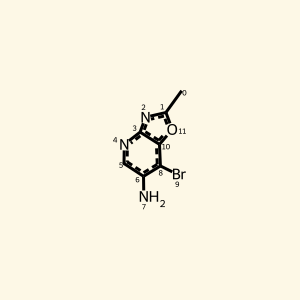 Cc1nc2ncc(N)c(Br)c2o1